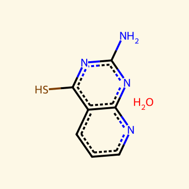 Nc1nc(S)c2cccnc2n1.O